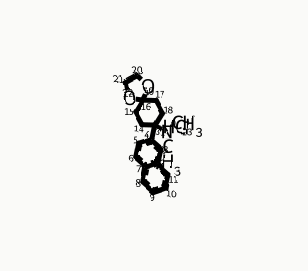 CN(C)C1(c2ccc3ccccc3c2)CCC2(CC1)OCCO2.Cl